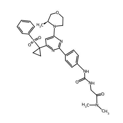 C[C@H]1COCCN1c1cc(C2(S(=O)(=O)c3ccccc3)CC2)nc(-c2ccc(NC(=O)NCC(=O)N(C)C)cc2)n1